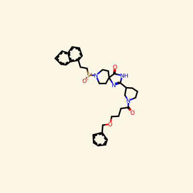 O=C(CCCOCc1ccccc1)N1CCCC(C2=NC3(CCN([S+]([O-])CCc4cccc5ccccc45)CC3)C(=O)N2)C1